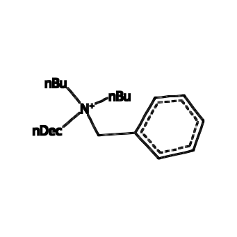 CCCCCCCCCC[N+](CCCC)(CCCC)Cc1ccccc1